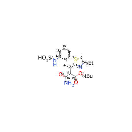 CCc1csc(C(Cc2ccccc2NS(=O)(=O)O)C(C(N)=O)C(=O)OC(C)(C)C)n1